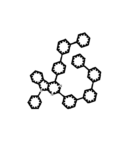 c1ccc(-c2cccc(-c3ccc(-c4nc(-c5cccc(-c6cccc(-c7cccc(-c8ccccc8)c7)c6)c5)nc5c4c4ccccc4n5-c4ccccc4)cc3)c2)cc1